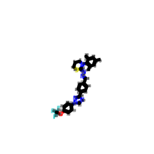 Cc1cc(C)c(N2CCCS/C2=N\N=C\c2ccc(-c3ncn(-c4ccc(OC(F)(F)F)cc4)n3)cc2)c(C)c1